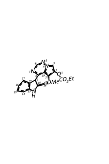 CCOC(=O)Oc1cn2ncnc(C3C(=O)Nc4ccccc43)c2c1OC